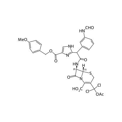 COc1ccc(COC(=O)c2c[nH]c(C(C(=O)N[C@@H]3C(=O)N4C(C(=O)O)=C(C(Cl)(Cl)OC(C)=O)CS[C@@H]34)c3cccc(NC=O)c3)n2)cc1